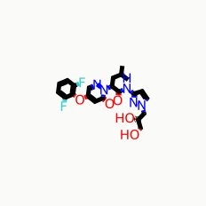 CC(C)CC(C(=O)Nc1ccn(C[C@@H](O)CO)n1)n1ncc(Oc2c(F)cccc2F)cc1=O